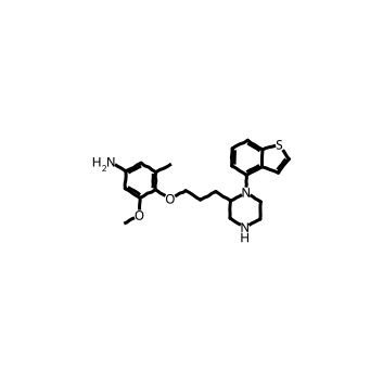 COc1cc(N)cc(C)c1OCCCC1CNCCN1c1cccc2sccc12